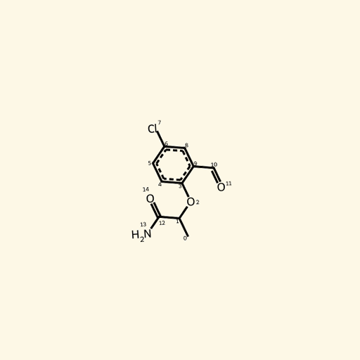 CC(Oc1ccc(Cl)cc1C=O)C(N)=O